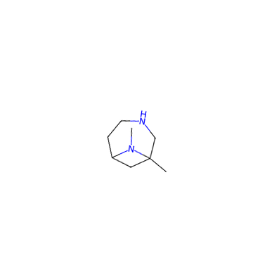 CN1C2CCNCC1(C)C2